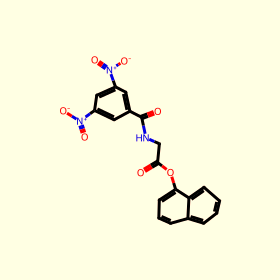 O=C(CNC(=O)c1cc([N+](=O)[O-])cc([N+](=O)[O-])c1)Oc1cccc2ccccc12